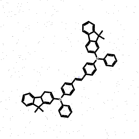 CC1(C)C2=CC(N(c3ccccc3)c3ccc(/C=C/c4ccc(N(c5ccccc5)c5ccc6c(c5)C(C)(C)c5ccccc5-6)cc4)cc3)=CCC2c2ccccc21